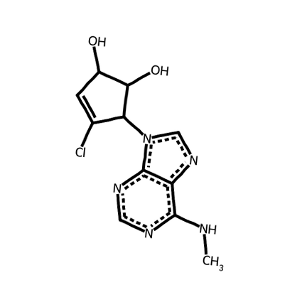 CNc1ncnc2c1ncn2C1C(Cl)=CC(O)C1O